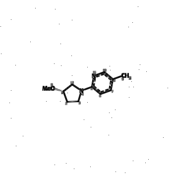 CO[C@H]1CCN(c2ccc(C)cn2)C1